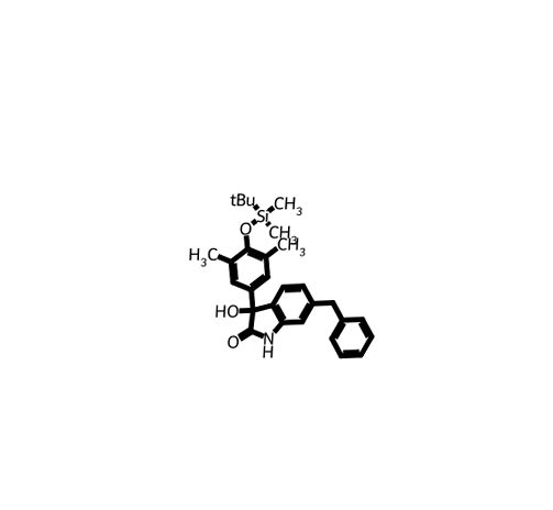 Cc1cc(C2(O)C(=O)Nc3cc(Cc4ccccc4)ccc32)cc(C)c1O[Si](C)(C)C(C)(C)C